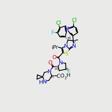 CC(C)C1=C(C(=O)N2C[C@H](F)C[C@H]2C(=O)N2CC3(CC3)NC[C@@H]2C(=O)O)SC2=N[C@@](C)(c3ccc(Cl)nc3)[C@@H](c3ccc(Cl)c(F)c3)N21